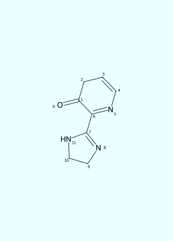 O=C1CC=CN=C1C1=NCCN1